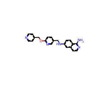 Nc1nccc2cc(NCc3ccc(OCc4ccncc4)nc3)ccc12